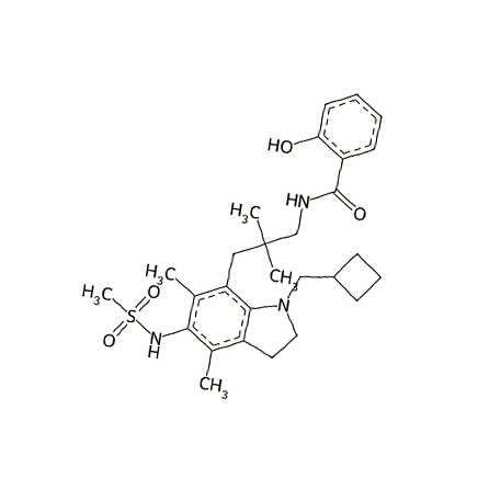 Cc1c2c(c(CC(C)(C)CNC(=O)c3ccccc3O)c(C)c1NS(C)(=O)=O)N(CC1CCC1)CC2